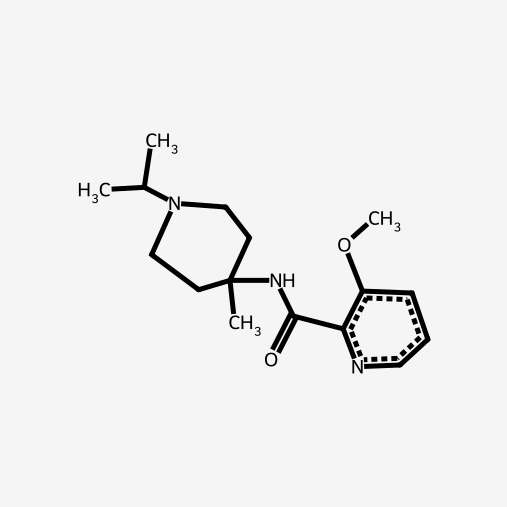 COc1cccnc1C(=O)NC1(C)CCN(C(C)C)CC1